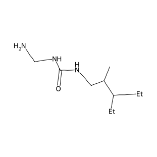 CCC(CC)C(C)CNC(=O)NCN